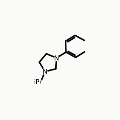 C/C=C\C(=C/C)N1CCN(C(C)C)C1